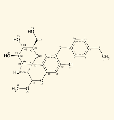 CCc1ccc(Cc2cc3c(cc2Cl)OC(OC)C[C@]32O[C@H](CO)[C@@H](O)[C@H](O)[C@H]2O)cc1